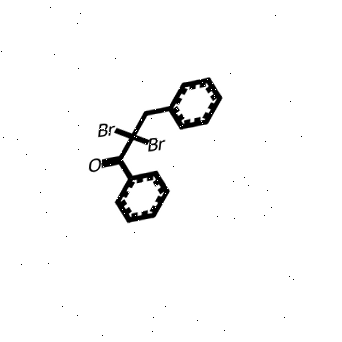 O=C(c1ccccc1)C(Br)(Br)Cc1ccccc1